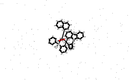 O=P1(c2ccccc2)c2ccccc2C2(c3ccccc3-n3c4ccccc4c4cccc2c43)c2cc(-c3cccc4ccccc34)ccc21